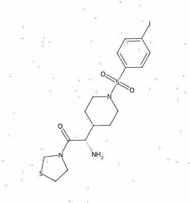 N[C@H](C(=O)N1CCSC1)C1CCN(S(=O)(=O)c2ccc(I)cc2)CC1